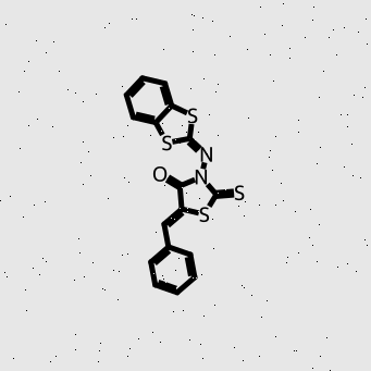 O=C1C(=Cc2ccccc2)SC(=S)N1N=c1sc2ccccc2s1